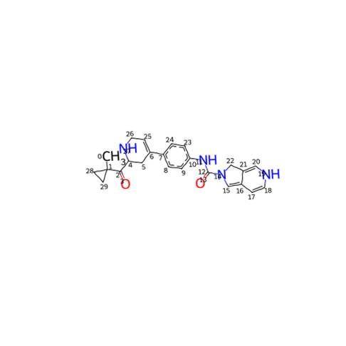 CC1(C(=O)C2CC(c3ccc(NC(=O)N4C=C5C=CNC=C5C4)cc3)=CCN2)CC1